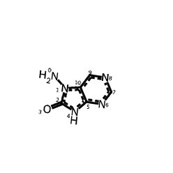 Nn1c(=O)[nH]c2ncncc21